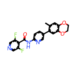 Cc1cc2c(cc1-c1ccc(NC(=O)c3c(F)cncc3F)nc1)OCCO2